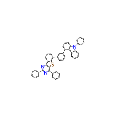 c1ccc(-c2nc(-c3ccccc3)c3sc4c(-c5cccc(-c6cccc7c6c6ccccc6n7-c6ccccc6)c5)cccc4c3n2)cc1